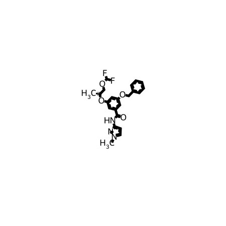 C[C@@H](COC(F)F)Oc1cc(OCc2ccccc2)cc(C(=O)Nc2ccn(C)n2)c1